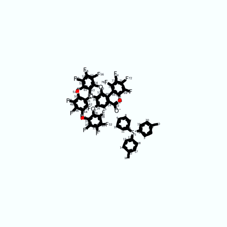 Cc1ccc([S+](c2ccccc2)c2ccc(C)cc2)cc1.O=C([O-])c1cc(Oc2c(F)c(F)c(F)c(F)c2F)c(Oc2c(F)c(F)c(F)c(F)c2F)c(Oc2c(F)c(F)c(F)c(F)c2F)c1-c1c(F)c(F)c(F)c(F)c1F